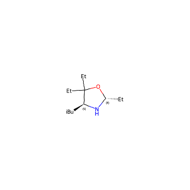 CCC(C)[C@@H]1N[C@@H](CC)OC1(CC)CC